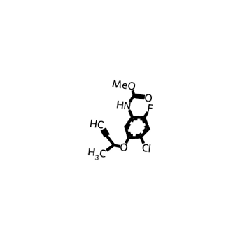 C#CC(C)Oc1cc(NC(=O)OC)c(F)cc1Cl